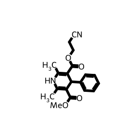 COC(=O)C1=C(C)NC(C)=C(C(=O)OCCC#N)C1c1ccccc1